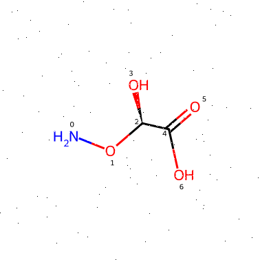 NO[C@@H](O)C(=O)O